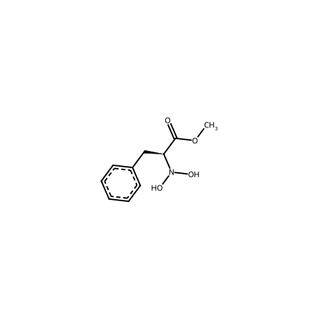 COC(=O)[C@H](Cc1ccccc1)N(O)O